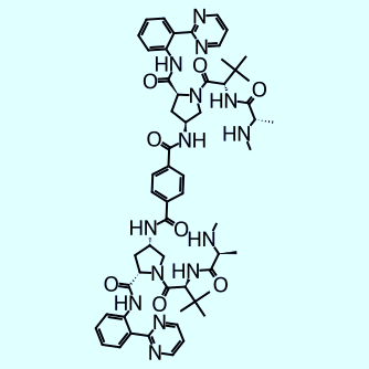 CN[C@@H](C)C(=O)N[C@H](C(=O)N1C[C@@H](NC(=O)c2ccc(C(=O)N[C@H]3C[C@@H](C(=O)Nc4ccccc4-c4ncccn4)N(C(=O)[C@@H](NC(=O)[C@H](C)NC)C(C)(C)C)C3)cc2)C[C@H]1C(=O)Nc1ccccc1-c1ncccn1)C(C)(C)C